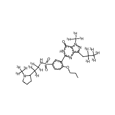 [2H]C([2H])([2H])N1CCCC1C([2H])([2H])C([2H])([2H])NS(=O)(=O)c1ccc(OCCC)c(-c2nc3c(CC([2H])([2H])C([2H])([2H])[2H])nn(C([2H])([2H])[2H])c3c(=O)[nH]2)c1